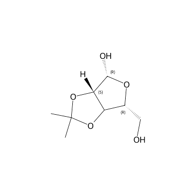 CC1(C)OC2[C@@H](CO)O[C@@H](O)[C@H]2O1